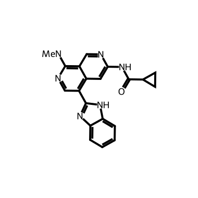 CNc1ncc(-c2nc3ccccc3[nH]2)c2cc(NC(=O)C3CC3)ncc12